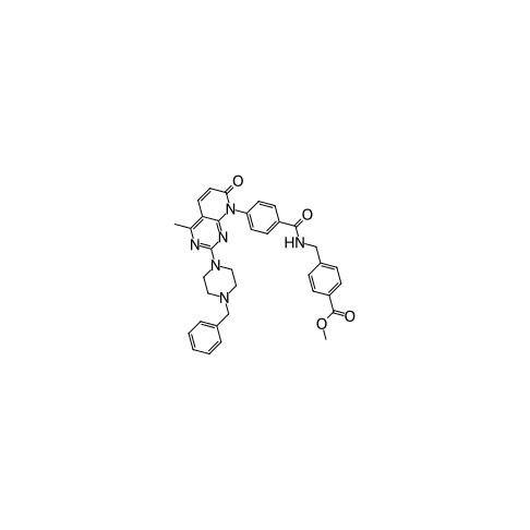 COC(=O)c1ccc(CNC(=O)c2ccc(-n3c(=O)ccc4c(C)nc(N5CCN(Cc6ccccc6)CC5)nc43)cc2)cc1